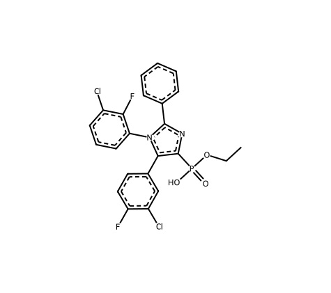 CCOP(=O)(O)c1nc(-c2ccccc2)n(-c2cccc(Cl)c2F)c1-c1ccc(F)c(Cl)c1